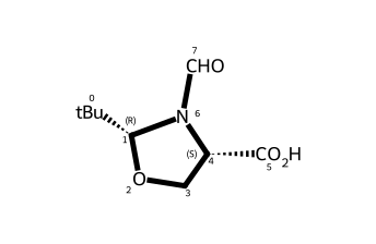 CC(C)(C)[C@H]1OC[C@@H](C(=O)O)N1C=O